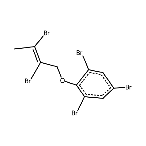 C/C(Br)=C(\Br)COc1c(Br)cc(Br)cc1Br